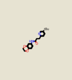 CC(C)(C)c1ccc(CCC(=O)Nc2ccc3c(c2)OCCO3)nc1